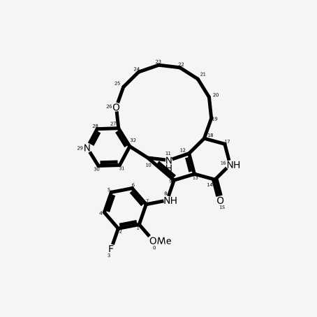 COc1c(F)cccc1Nc1c2[nH]c3c1C(=O)NCC3CCCCCCCOc1cnccc1-2